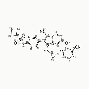 N#Cc1nccnc1Oc1ccc2c(C#N)c(-c3ccc(NS(=O)(=O)C4CCC4)cc3)n(CC3CC3)c2c1